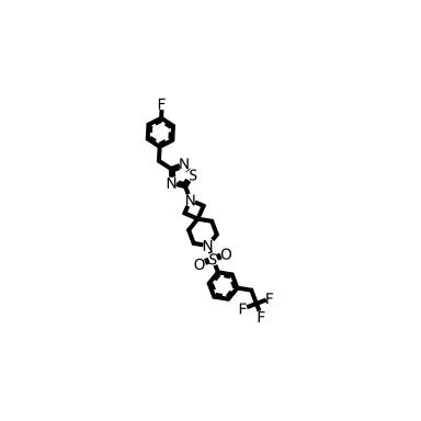 O=S(=O)(c1cccc(CC(F)(F)F)c1)N1CCC2(CC1)CN(c1nc(Cc3ccc(F)cc3)ns1)C2